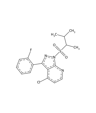 CC(C)C(C)S(=O)(=O)n1nc(-c2ccccc2F)c2c(Cl)ccnc21